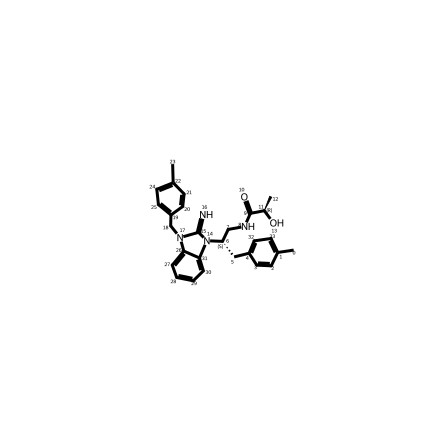 Cc1ccc(C[C@@H](CNC(=O)[C@@H](C)O)n2c(=N)n(Cc3ccc(C)cc3)c3ccccc32)cc1